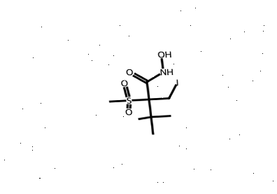 CC(C)(C)C(CI)(C(=O)NO)S(C)(=O)=O